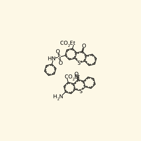 CCOC(=O)c1cc(N)cc2sc3ccccc3c(=O)c12.CCOC(=O)c1cc(S(=O)(=O)Nc2ccccc2)cc2sc3ccccc3c(=O)c12